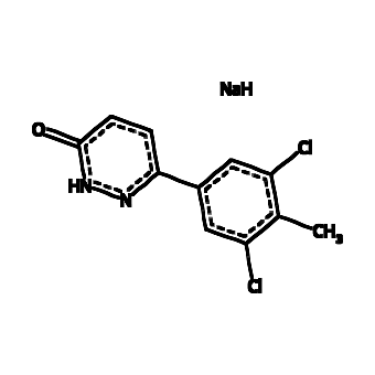 Cc1c(Cl)cc(-c2ccc(=O)[nH]n2)cc1Cl.[NaH]